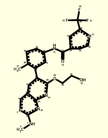 CNc1ncc2cc(-c3cc(NC(=O)c4ccnc(C(F)(F)F)c4)ccc3C)c(OCCO)nc2n1